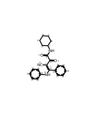 N#C/C(C(=O)C(=O)NC1CCCCC1)=C(\Nc1ccccc1)c1ccccc1